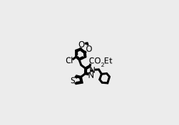 CCOC(=O)c1c(Cc2cc3c(cc2Cl)OCO3)c(-c2ccsc2)nn1CC1CCCCC1